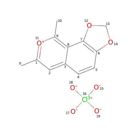 Cc1cc2ccc3c(c2c(C)[o+]1)OCO3.[O-][Cl+3]([O-])([O-])[O-]